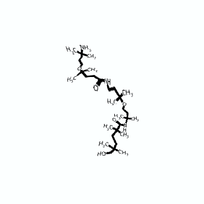 CC(C)(N)CCOC(C)(C)CCC(=O)NCCC(C)(C)OCCC(C)(C)NC(=O)C(C)(C)CCC(C)(C)CO